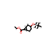 CCOC(=O)C1C2CCC(O[Si](C)(C)C(C)(C)C)CC21